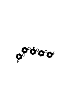 Cc1c(Oc2cccc(Oc3cccc(F)c3)c2)cccc1Oc1cccc(Oc2cccc(F)c2)c1